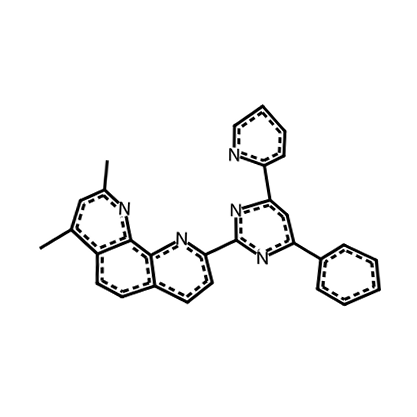 Cc1cc(C)c2ccc3ccc(-c4nc(-c5ccccc5)cc(-c5ccccn5)n4)nc3c2n1